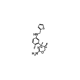 C[C@]1(c2cc(NCc3cccs3)ccc2F)N=C(N)OC[C@@H]1F